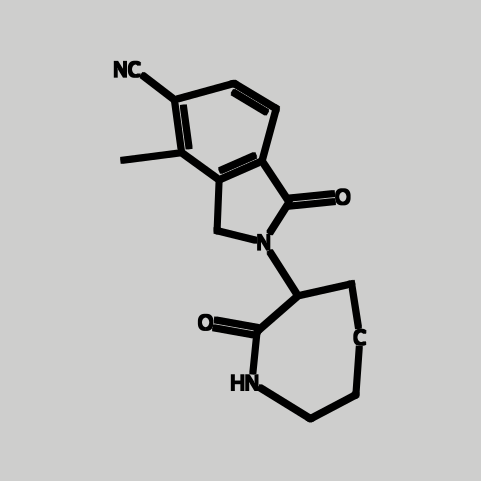 Cc1c(C#N)ccc2c1CN(C1CCCCNC1=O)C2=O